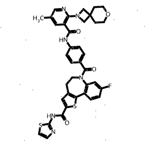 Cc1cnc(N2CC3(CCOCC3)C2)c(C(=O)Nc2ccc(C(=O)N3CCc4cc(C(=O)Nc5nccs5)sc4-c4ccc(F)cc43)cc2)c1